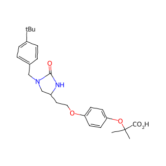 CC(C)(Oc1ccc(OCCC2CN(Cc3ccc(C(C)(C)C)cc3)C(=O)N2)cc1)C(=O)O